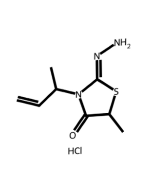 C=CC(C)N1C(=O)C(C)SC1=NN.Cl